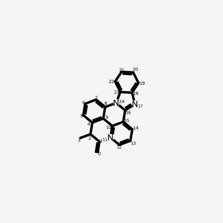 C=CC(C)c1cccc2c1c1ncccc1c1nc3ccccc3n21